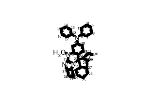 CN1c2cc(N(c3ccccc3)c3ccccc3)ccc2C2(c3ccccc3-c3ccccc32)n2c1nc1ccccc12